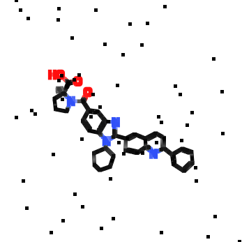 O=C(O)[C@@H]1CCCN1C(=O)c1ccc2c(c1)nc(-c1ccc3nc(-c4ccccc4)ccc3c1)n2C1CCCCC1